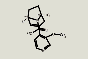 COc1cnccc1C1=C[C@H]2CC[C@@H](C1)N2C(=O)O